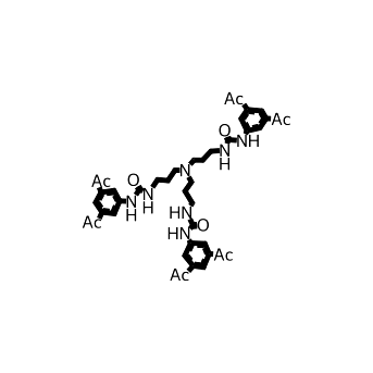 CC(=O)c1cc(NC(=O)NCCCN(CCCNC(=O)Nc2cc(C(C)=O)cc(C(C)=O)c2)CCCNC(=O)Nc2cc(C(C)=O)cc(C(C)=O)c2)cc(C(C)=O)c1